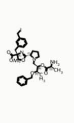 COC(=O)[C@@]1(Cc2cccc(CI)c2)COC([C@@H]2CCCN2C[C@@H](OC(=O)[C@H](C)N)[C@@H](C)OCc2ccccc2)=N1